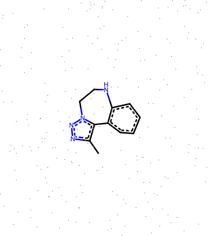 Cc1nnn2c1-c1ccccc1NCC2